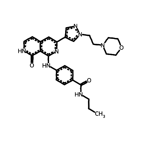 CCCNC(=O)c1ccc(Nc2nc(-c3cnn(CCN4CCOCC4)c3)cc3cc[nH]c(=O)c23)cc1